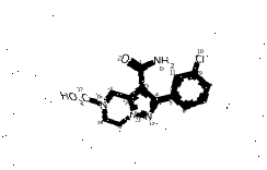 NC(=O)c1c(-c2cccc(Cl)c2)nn2c1CN(C(=O)O)CC2